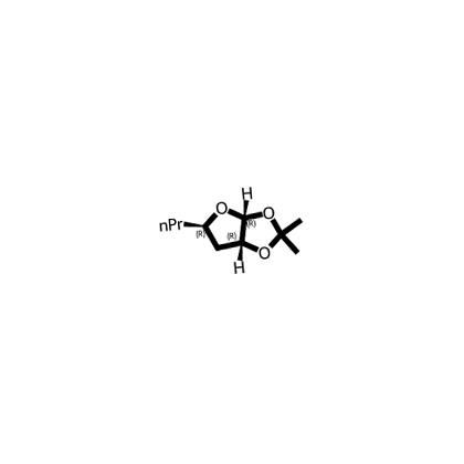 CCC[C@@H]1C[C@H]2OC(C)(C)O[C@H]2O1